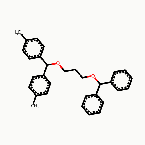 Cc1ccc(C(OCCCOC(c2ccccc2)c2ccccc2)c2ccc(C)cc2)cc1